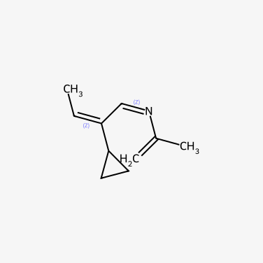 C=C(C)/N=C\C(=C/C)C1CC1